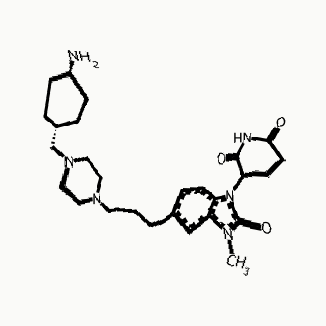 Cn1c(=O)n(C2CCC(=O)NC2=O)c2ccc(CCCN3CCN(C[C@H]4CC[C@H](N)CC4)CC3)cc21